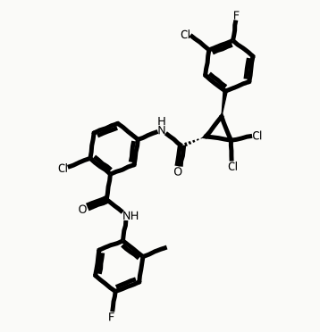 Cc1cc(F)ccc1NC(=O)c1cc(NC(=O)[C@@H]2[C@@H](c3ccc(F)c(Cl)c3)C2(Cl)Cl)ccc1Cl